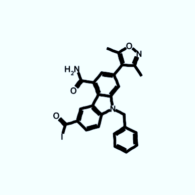 Cc1noc(C)c1-c1cc(C(N)=O)c2c3cc(C(=O)I)ccc3n(Cc3ccccc3)c2c1